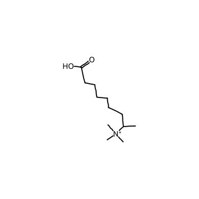 CC(CCCCCCC(=O)O)[N+](C)(C)C